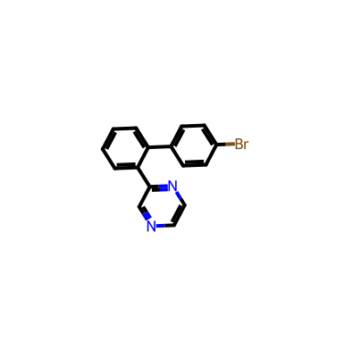 Brc1ccc(-c2ccccc2-c2cnccn2)cc1